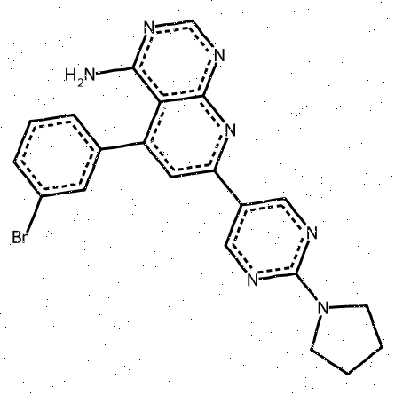 Nc1ncnc2nc(-c3cnc(N4CCCC4)nc3)cc(-c3cccc(Br)c3)c12